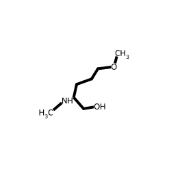 CNC(CO)CCCOC